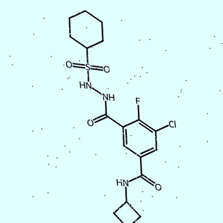 O=C(NC1CCC1)c1cc(Cl)c(F)c(C(=O)NNS(=O)(=O)C2CCCCC2)c1